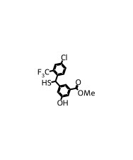 COC(=O)c1cc(O)cc(C(S)c2ccc(Cl)cc2C(F)(F)F)c1